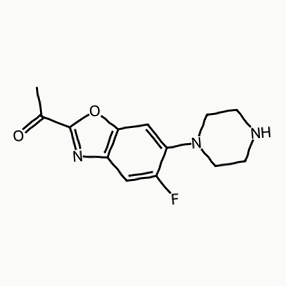 CC(=O)c1nc2cc(F)c(N3CCNCC3)cc2o1